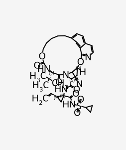 C=C[C@@H]1C[C@]1(NC(=O)[C@@H]1C[C@H]2Oc3nccc4ccc(cc34)CCCCCOC(=O)N[C@@H](C(C)(C)C)C(=O)N1C2C#N)C(=O)NS(=O)(=O)C1CC1